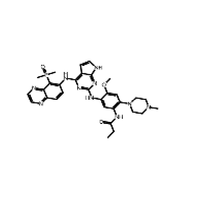 CCC(=O)Nc1cc(Nc2nc(Nc3ccc4nccnc4c3P(C)(C)=O)c3cc[nH]c3n2)c(OC)cc1N1CCN(C)CC1